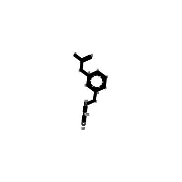 C=C(C)Cc1cccc(CN=C=O)c1